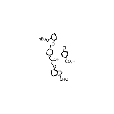 CCCCOc1ccccc1OCC1CCN(CC(O)COc2cccc3c2CCN3C=O)CC1.O=C(O)c1ccc(Cl)cc1